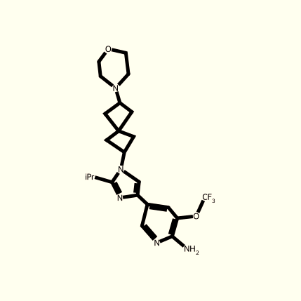 CC(C)c1nc(-c2cnc(N)c(OC(F)(F)F)c2)cn1C1CC2(CC(N3CCOCC3)C2)C1